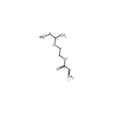 C=CC(=O)OCCOC(C)CC(C)(C)C